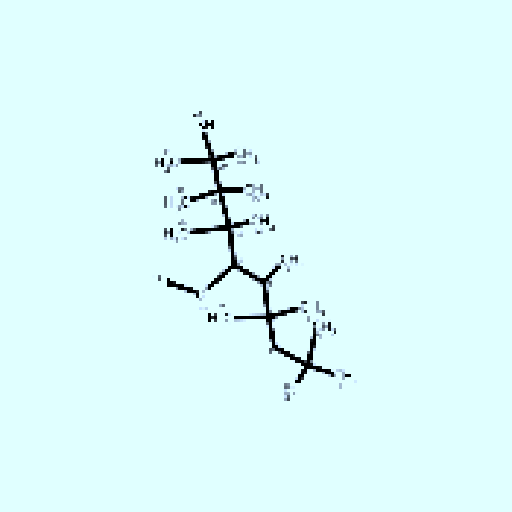 CCC(C)(C)CC(C)(C)C(C)C(OI)C(C)(C)C(C)(C)C(C)(C)S